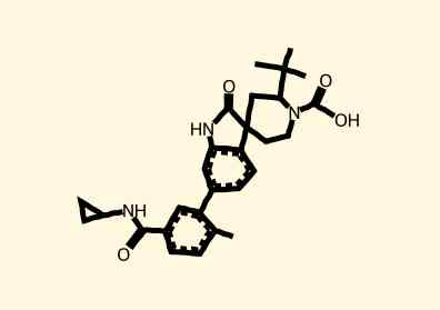 Cc1ccc(C(=O)NC2CC2)cc1-c1ccc2c(c1)NC(=O)C21CCN(C(=O)O)C(C(C)(C)C)C1